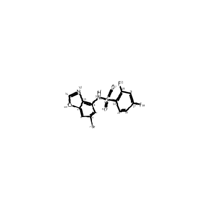 O=S(=O)(Nc1cc(Br)cc2ocnc12)c1ccc(F)cc1F